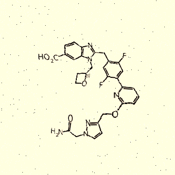 NC(=O)Cn1ccc(COc2cccc(-c3cc(F)c(Cc4nc5ccc(C(=O)O)cc5n4C[C@@H]4CCO4)cc3F)n2)n1